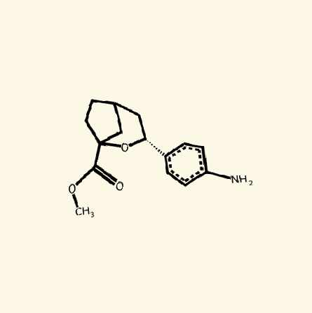 COC(=O)C12CCC(C[C@H](c3ccc(N)cc3)O1)C2